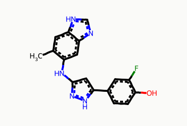 Cc1cc2[nH]cnc2cc1Nc1cc(-c2ccc(O)c(F)c2)[nH]n1